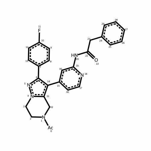 CC(=O)N1CCn2nc(-c3ccc(F)cc3)c(-c3ccnc(NC(=O)Cc4ccccc4)c3)c2C1